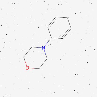 [CH]1C=CC(N2CCOCC2)C=C1